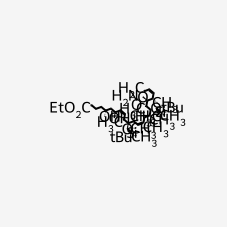 C=C/C=C\[C@H](C)[C@H](OC(N)=O)[C@@H](C)[C@H](O[Si](C)(C)C(C)(C)C)[C@@H](C)C/C(C)=C\[C@H](C)[C@@H](O[Si](C)(C)C(C)(C)C)[C@@H](C)/C=C\[C@@H](O)C[C@H](O)CCCC(=O)OCC